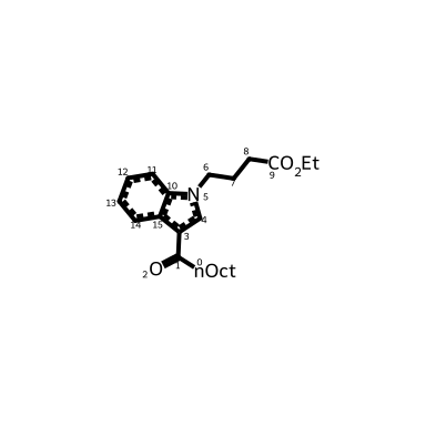 CCCCCCCCC(=O)c1cn(CCCC(=O)OCC)c2ccccc12